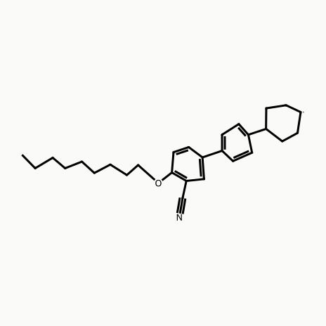 CCCCCCCCCOc1ccc(-c2ccc(C3CC[CH]CC3)cc2)cc1C#N